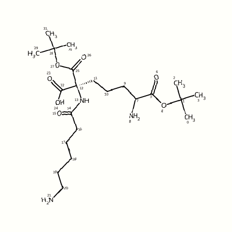 CC(C)(C)OC(=O)C(N)CCC[C@](NC(=O)CCCCCN)(C(=O)O)C(=O)OC(C)(C)C